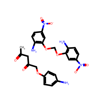 CC(=O)CC(=O)COc1ccc(N)cc1.Nc1ccc([N+](=O)[O-])cc1OCOc1cc([N+](=O)[O-])ccc1N